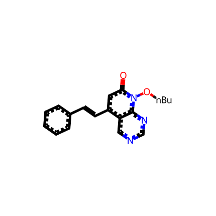 CCCCOn1c(=O)cc(/C=C/c2ccccc2)c2cncnc21